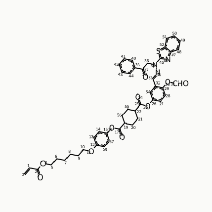 C=CC(=O)OCCCCCCOc1ccc(OC(=O)C2CCC(C(=O)Oc3ccc(OC=O)c(/C=N/N(CC(=O)c4ccccc4)c4nc5ccccc5s4)c3)CC2)cc1